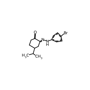 CC(C)C1CCC(=O)/C(=N/Nc2ccc(Br)cc2)C1